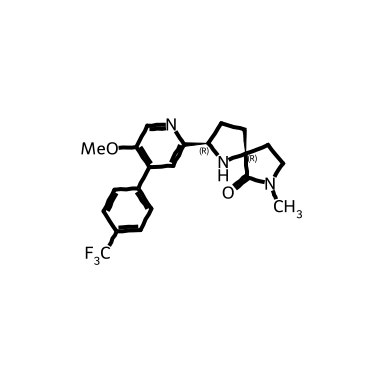 COc1cnc([C@H]2CC[C@]3(CCN(C)C3=O)N2)cc1-c1ccc(C(F)(F)F)cc1